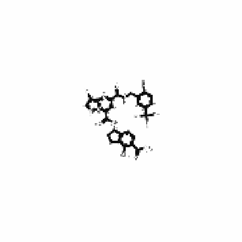 CC(=O)c1ccc2c(c1C)CC[C@@H]2NC(=O)c1cc(C(=O)NCc2cc(C(F)(F)F)ccc2F)nc2c(F)cnn12